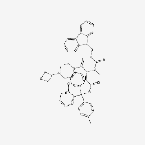 Cc1ccc(C(OC(=O)C[C@@H](C(=O)N2CCN(C3COC3)CC2)N(C)C(=O)OCC2c3ccccc3-c3ccccc32)(c2ccccc2)c2ccccc2Cl)cc1